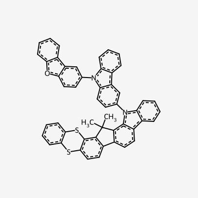 CC1(C)c2c(ccc3c2Sc2ccccc2S3)-c2ccc3c4ccccc4n(-c4ccc5c(c4)c4ccccc4n5-c4ccc5oc6ccccc6c5c4)c3c21